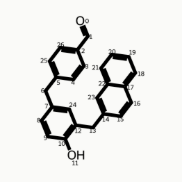 O=Cc1ccc(Cc2ccc(O)c(Cc3ccc4ccccc4c3)c2)cc1